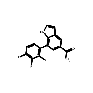 NC(=O)c1cc(-c2ccc(F)c(F)c2F)c2[nH]ccc2c1